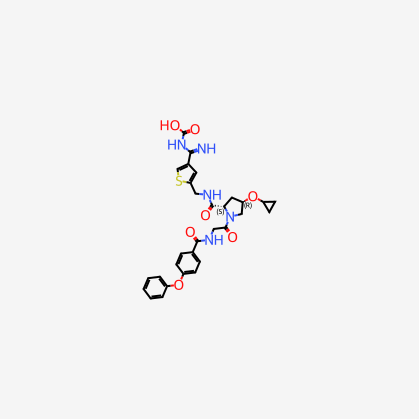 N=C(NC(=O)O)c1csc(CNC(=O)[C@@H]2C[C@@H](OC3CC3)CN2C(=O)CNC(=O)c2ccc(Oc3ccccc3)cc2)c1